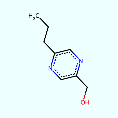 CCCc1cnc(CO)cn1